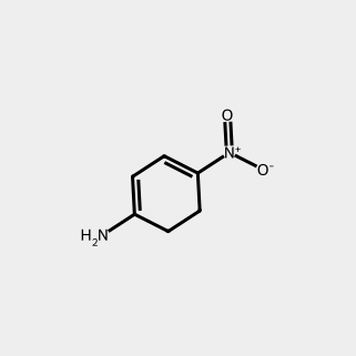 NC1=CC=C([N+](=O)[O-])CC1